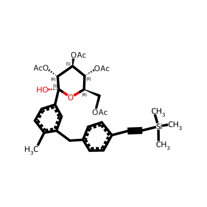 CC(=O)OC[C@H]1O[C@@](O)(c2ccc(C)c(Cc3ccc(C#C[Si](C)(C)C)cc3)c2)[C@H](OC(C)=O)[C@@H](OC(C)=O)[C@@H]1OC(C)=O